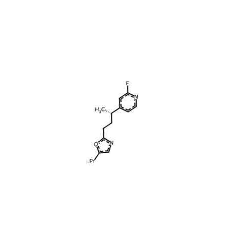 CC(C)c1cnc(CC[C@H](C)c2ccnc(F)c2)o1